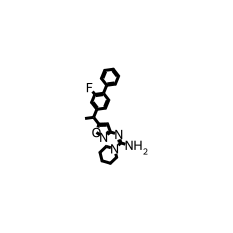 CC(c1ccc(-c2ccccc2)c(F)c1)c1cc(/N=C(/N)N2CCCCC2)no1